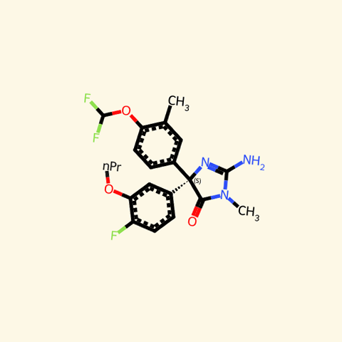 CCCOc1cc([C@]2(c3ccc(OC(F)F)c(C)c3)N=C(N)N(C)C2=O)ccc1F